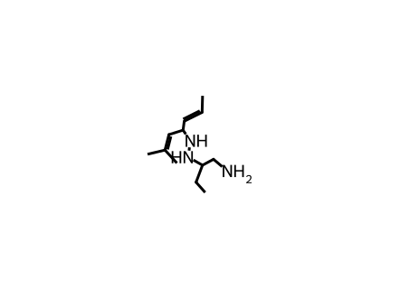 CC=CC(C=C(C)C)NNC(CC)CN